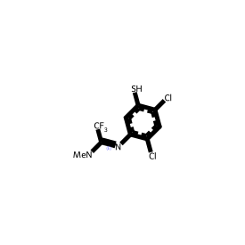 CN/C(=N/c1cc(S)c(Cl)cc1Cl)C(F)(F)F